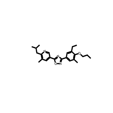 CCCOc1c(C)cc(-c2noc(-c3cnc(CC(C)C)c(C)c3)n2)cc1CC